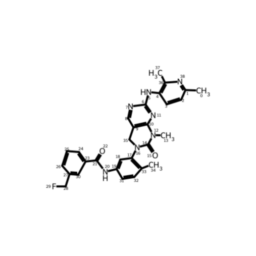 Cc1ccc(Nc2ncc3c(n2)N(C)C(=O)N(c2cc(NC(=O)c4cccc(CF)c4)ccc2C)C3)c(C)n1